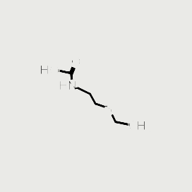 CCSCCNC(=O)O